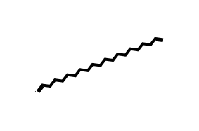 [CH]=CCCCCCCCCCCCCCCCCCC=C